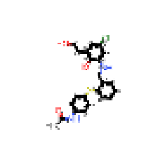 CC(=O)Nc1ccc(Sc2ccccc2CNc2cc(Cl)cc(CCO)c2O)cc1